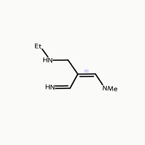 CCNC/C(C=N)=C/NC